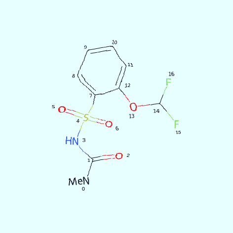 CNC(=O)NS(=O)(=O)c1ccccc1OC(F)F